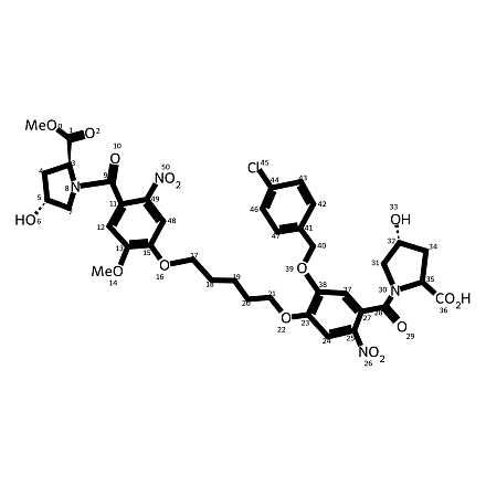 COC(=O)[C@@H]1C[C@@H](O)CN1C(=O)c1cc(OC)c(OCCCCCOc2cc([N+](=O)[O-])c(C(=O)N3C[C@H](O)CC3C(=O)O)cc2OCc2ccc(Cl)cc2)cc1[N+](=O)[O-]